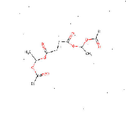 CCC(=O)OC(C)OC(=O)CCC(=O)OC(C)OC(=O)CC